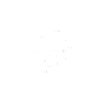 CC(=O)Oc1ccc(O)c(O)c1.O=C(O)CCc1ccc(O)c(O)c1.O=C(O)c1ccc(O)c(O)c1